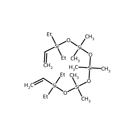 C=C[Si](CC)(CC)O[Si](C)(C)O[Si](C)(C)O[Si](C)(C)O[Si](C=C)(CC)CC